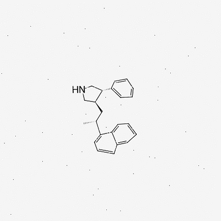 C[C@H](C[C@H]1CNC[C@@H]1c1ccccc1)c1cccc2ccccc12